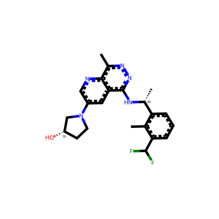 Cc1c(C(F)F)cccc1[C@@H](C)Nc1nnc(C)c2ncc(N3CC[C@H](O)C3)cc12